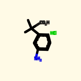 CC(C)(C(=O)O)c1cccc(N)c1.Cl